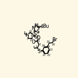 CC(CC(=O)OC1CN(C)C[N+]1([O-])c1nnc(C(C)(C)C)s1)Sc1cccc(CCBr)c1